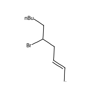 [CH2]C=CCC(Br)CCCCC